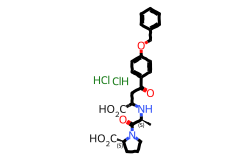 C[C@H](NC(CC(=O)c1ccc(OCc2ccccc2)cc1)C(=O)O)C(=O)N1CCC[C@H]1C(=O)O.Cl.Cl